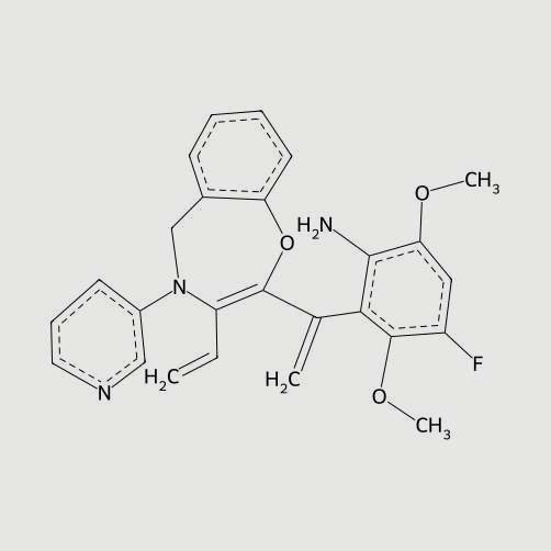 C=CC1=C(C(=C)c2c(N)c(OC)cc(F)c2OC)Oc2ccccc2CN1c1cccnc1